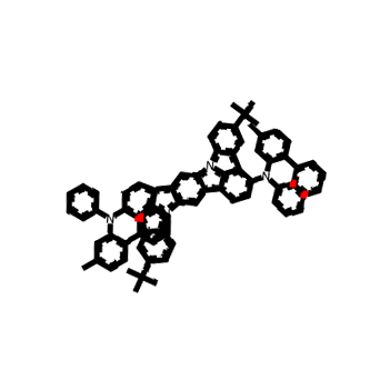 Cc1ccc(-c2ccccc2)c(N(c2ccccc2)c2ccc3c4cc5c(cc4n4c6ccc(C(C)(C)C)cc6c2c34)c2ccc(N(c3ccccc3)c3cc(C)ccc3-c3ccccc3)c3c4cc(C(C)(C)C)ccc4n5c23)c1